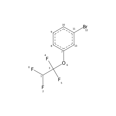 FC(F)C(F)(F)Oc1cccc(Br)c1